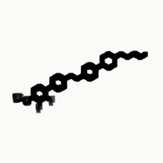 C/C=C/CCC1CCC(c2ccc(CCc3ccc(-c4ccc(OCC)c(F)c4F)cc3)cc2)CC1